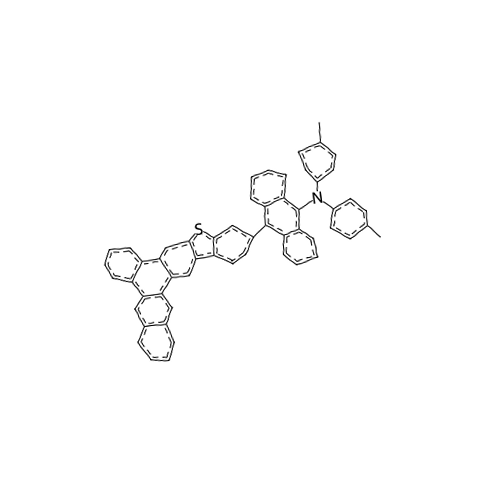 Cc1ccc(N(c2ccc(C)cc2)c2c3ccccc3c(-c3ccc4c(c3)sc3cc5c6ccccc6c6cc7ccccc7cc6c5cc34)c3ccccc23)cc1